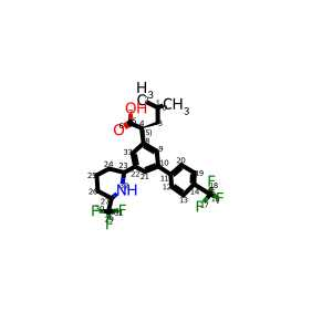 CC(C)C[C@H](C(=O)O)c1cc(-c2ccc(C(F)(F)F)cc2)cc(C2CCCC(C(F)(F)F)N2)c1